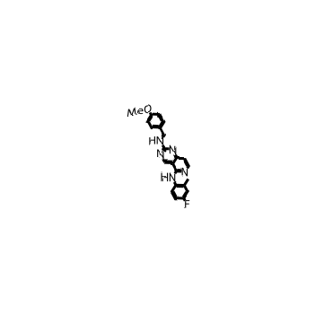 COc1ccc(CNc2ncc3c(Nc4ccc(F)cc4C)nccc3n2)cc1